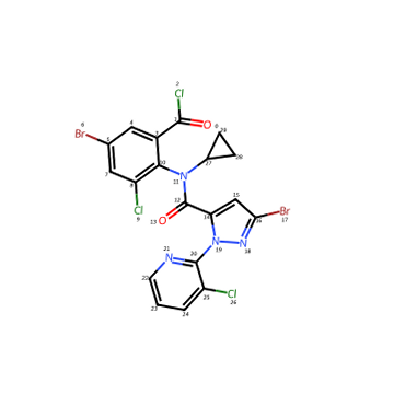 O=C(Cl)c1cc(Br)cc(Cl)c1N(C(=O)c1cc(Br)nn1-c1ncccc1Cl)C1CC1